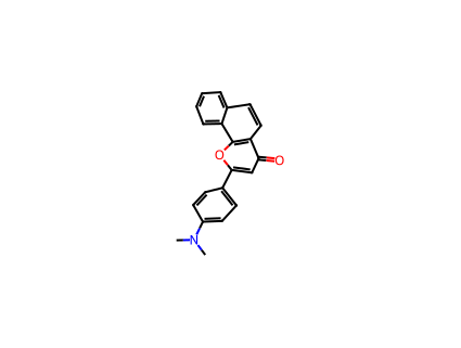 CN(C)c1ccc(-c2cc(=O)c3ccc4ccccc4c3o2)cc1